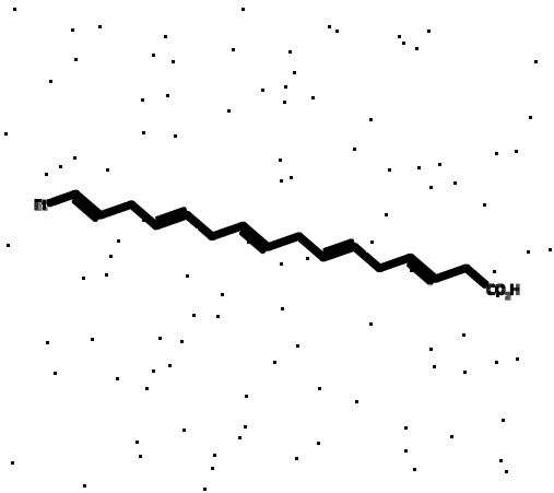 CCC=CCC=CCC=CCC=CCC=CCC(=O)O